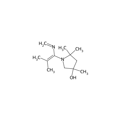 C=NC(=C(C)C)N1CC(C)(O)CC1(C)C